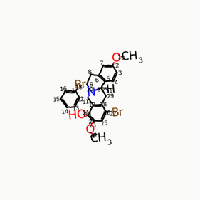 COc1ccc2c(c1)CCN1[C@@H](c3ccccc3Br)c3c(O)c(OC)cc(Br)c3C[C@@H]21